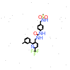 Cc1cccc(-c2nc(C(F)(F)F)ccc2CNC(=O)Nc2ccc(CNS(C)(=O)=O)cc2)c1